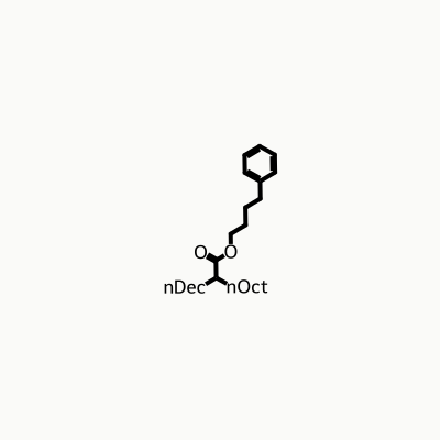 CCCCCCCCCCC(CCCCCCCC)C(=O)OCCCCc1ccccc1